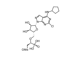 COC[C@@H](OC[C@H]1O[C@@H](n2ncc3c(NC4CCCC4)nc(Cl)nc32)[C@H](O)[C@@H]1O)P(=O)(O)O